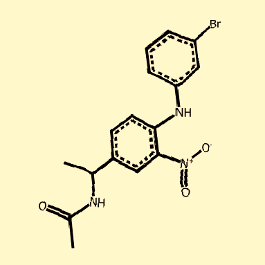 CC(=O)NC(C)c1ccc(Nc2cccc(Br)c2)c([N+](=O)[O-])c1